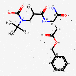 CC(CN(C(=O)O)C(C)(C)C)C(=O)N[C@@H](CC(=O)OCc1ccccc1)C(N)=O